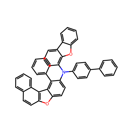 c1ccc(-c2ccc(N(c3ccc4oc5ccc6ccccc6c5c4c3-c3ccccc3)c3cccc4c3oc3ccccc34)cc2)cc1